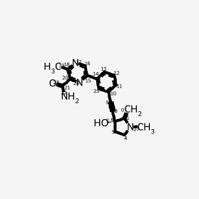 C=C1N(C)CC[C@@]1(O)C#Cc1cccc(-c2cnc(C)c(C(N)=O)n2)c1